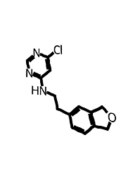 Clc1cc(NCCc2ccc3c(c2)COC3)ncn1